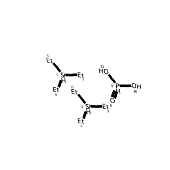 CC[SiH](CC)CC.CC[SiH](CC)CC.O=[PH](O)O